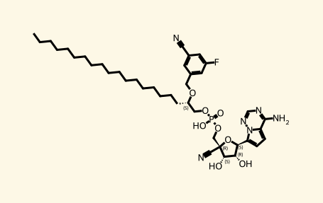 CCCCCCCCCCCCCCCCCC[C@@H](COP(=O)(O)OC[C@@]1(C#N)O[C@@H](c2ccc3c(N)ncnn23)[C@H](O)[C@@H]1O)OCc1cc(F)cc(C#N)c1